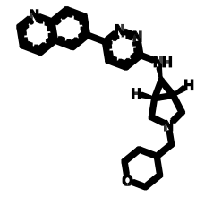 c1cnc2ccc(-c3ccc(N[C@H]4[C@@H]5CN(CC6CCOCC6)C[C@@H]54)nn3)cc2c1